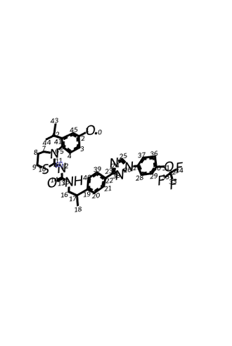 COc1ccc(N2CCCS/C2=N\C(=O)NCC(C)c2ccc(-c3ncn(-c4ccc(OC(F)(F)F)cc4)n3)cc2)c(C(C)C)c1